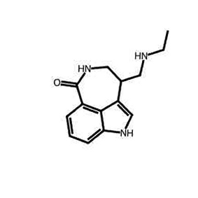 CCNCC1CNC(=O)c2cccc3[nH]cc1c23